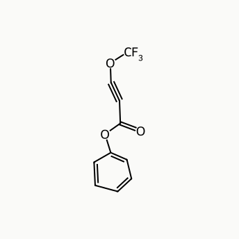 O=C(C#COC(F)(F)F)Oc1ccccc1